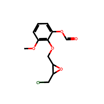 COc1cccc(OC=O)c1OCC1OC1CCl